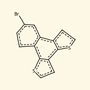 Brc1ccc2c(c1)c1ccsc1c1ccsc21